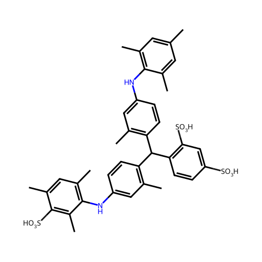 Cc1cc(C)c(Nc2ccc(C(c3ccc(Nc4c(C)cc(C)c(S(=O)(=O)O)c4C)cc3C)c3ccc(S(=O)(=O)O)cc3S(=O)(=O)O)c(C)c2)c(C)c1